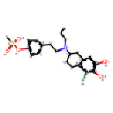 CCCN(CCc1ccc(OS(C)(=O)=O)cc1)C1CCc2c(cc(O)c(O)c2F)C1